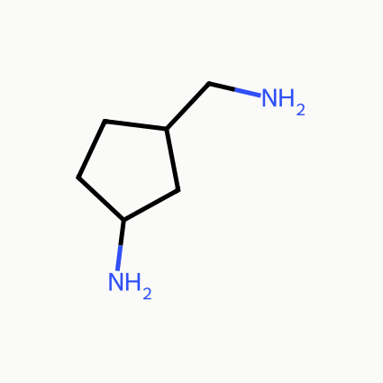 NCC1CCC(N)C1